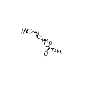 N#C/N=C/NCS(=O)(=O)O